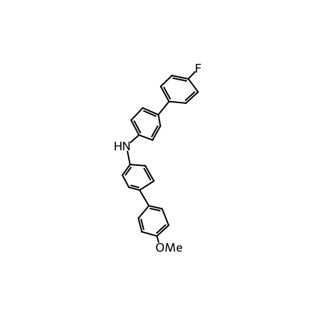 COc1ccc(-c2ccc(Nc3ccc(-c4ccc(F)cc4)cc3)cc2)cc1